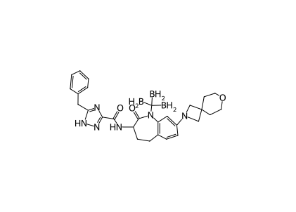 BC(B)(B)N1C(=O)C(NC(=O)c2n[nH]c(Cc3ccccc3)n2)CCc2ccc(N3CC4(CCOCC4)C3)cc21